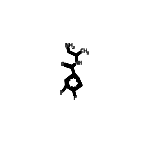 CC(CN)NC(=O)c1ccc(F)c(F)c1